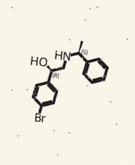 C[C@H](NC[C@H](O)c1ccc(Br)cc1)c1ccccc1